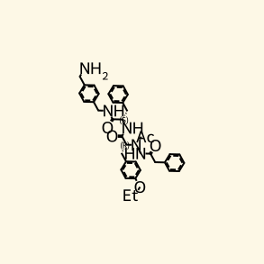 CCOc1ccc(C[C@H](C(=O)N[C@@H](Cc2ccccc2)C(=O)NCc2ccc(CN)cc2)N(NC(=O)Cc2ccccc2)C(C)=O)cc1